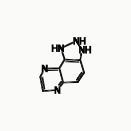 c1cnc2c3c(ccc2n1)NNN3